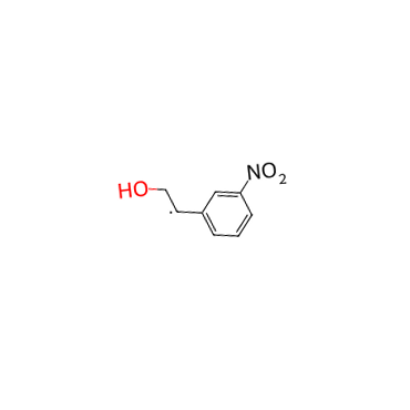 O=[N+]([O-])c1cccc([CH]CO)c1